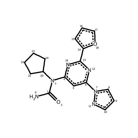 NC(=O)N(c1cc(-n2cccn2)nc(-c2ccco2)n1)C1CCCC1